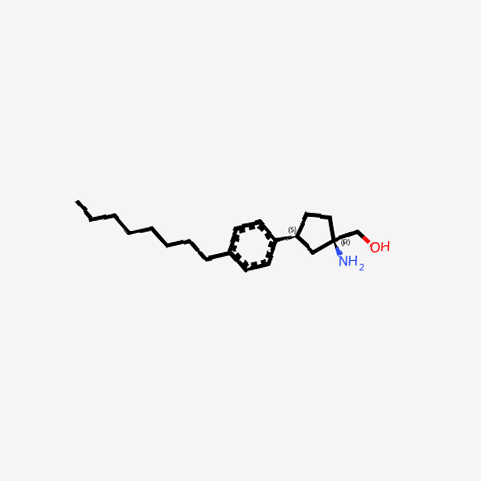 CCCCCCCCc1ccc([C@H]2CC[C@](N)(CO)C2)cc1